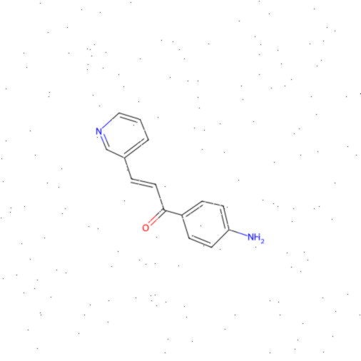 Nc1ccc(C(=O)/C=C/c2cccnc2)cc1